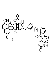 C[C@H]1C=C2C=C[C@H](C)[C@H](CC[C@@H]3C[C@@H](O)CC(=O)O3)[C@H]2[C@@H](OC(=O)NCCCn2cnc(CNc3cccc4c3C(=O)N(C3CCC(=O)NC3=O)C4=O)c2)C1